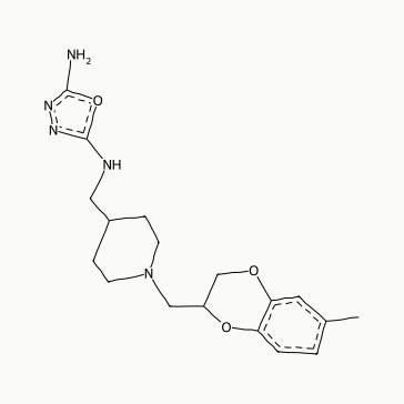 Cc1ccc2c(c1)OCC(CN1CCC(CNc3nnc(N)o3)CC1)O2